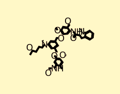 COc1cc(C)c(NC=O)cc1OCc1cc(COc2cc(NC(=O)C3Cc4ccccc4N3C)c(C=O)cc2OC)cc(N(C)CCCC(C)=O)c1